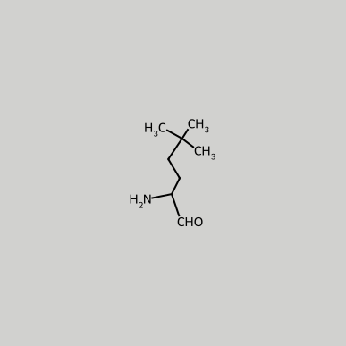 CC(C)(C)CCC(N)C=O